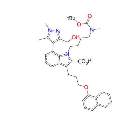 Cc1c(-c2cccc3c(CCCOc4cccc5ccccc45)c(C(=O)O)n(CCCCN(C)C(=O)OC(C)(C)C)c23)c(CO)nn1C